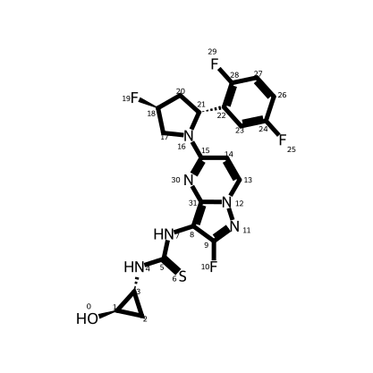 O[C@@H]1C[C@H]1NC(=S)Nc1c(F)nn2ccc(N3C[C@@H](F)C[C@@H]3c3cc(F)ccc3F)nc12